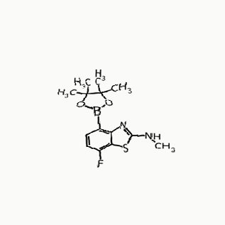 CNc1nc2c(B3OC(C)(C)C(C)(C)O3)ccc(F)c2s1